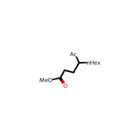 CCCCCCC(CCC(=O)OC)C(C)=O